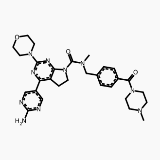 CN1CCN(C(=O)c2ccc(CN(C)C(=O)N3CCc4c(-c5cnc(N)nc5)nc(N5CCOCC5)nc43)cc2)CC1